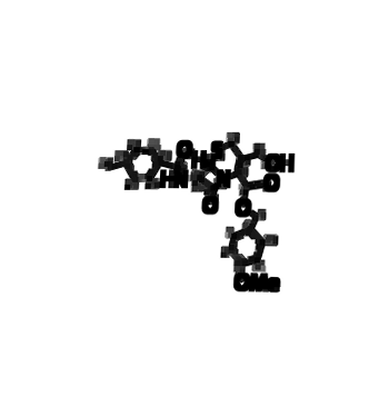 COc1ccc(COC(=O)C2=C(CO)CS[C@H]3[C@@H](NC(=O)c4ccc(C)cc4)C(=O)N23)cc1